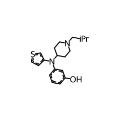 CC(C)CN1CCC(N(c2ccsc2)c2cccc(O)c2)CC1